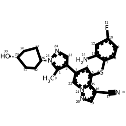 Cc1c(-c2cc(Sc3ccc(F)cc3N)c3c(C#N)cnn3c2)cnn1[C@H]1CC[C@@H](O)CC1